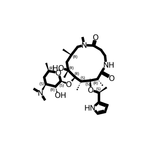 C[C@H]1CN(C)C(=O)CCNC(=O)[C@H](C)[C@@H](O[C@@H](C)c2ccc[nH]2)[C@H](C)[C@@H](O[C@@H]2O[C@H](C)C[C@H](N(C)C)[C@H]2O)[C@](C)(O)C1